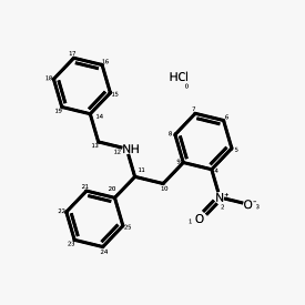 Cl.O=[N+]([O-])c1ccccc1CC(NCc1ccccc1)c1ccccc1